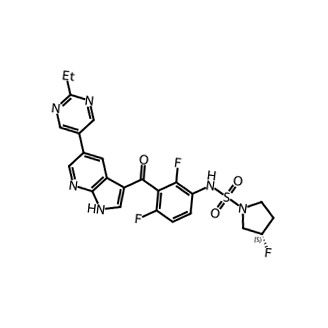 CCc1ncc(-c2cnc3[nH]cc(C(=O)c4c(F)ccc(NS(=O)(=O)N5CC[C@H](F)C5)c4F)c3c2)cn1